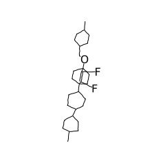 CC1CCC(COC23CCC(C4CCC(C5CCC(C)CC5)CC4)(CC2)C(F)=C3F)CC1